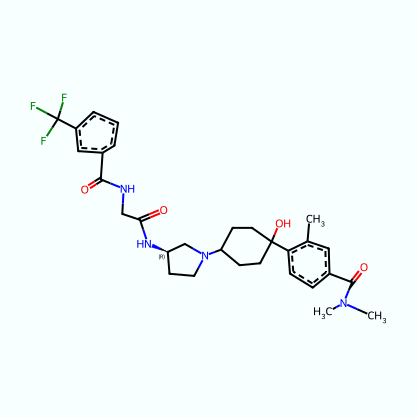 Cc1cc(C(=O)N(C)C)ccc1C1(O)CCC(N2CC[C@@H](NC(=O)CNC(=O)c3cccc(C(F)(F)F)c3)C2)CC1